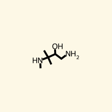 CNC(C)(C)C(O)CN